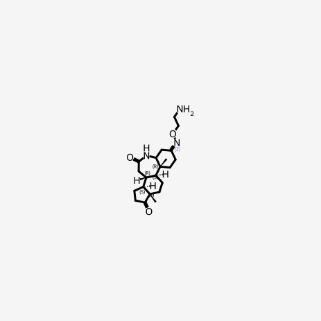 C[C@]12CC/C(=N/OCCN)CC1NC(=O)C[C@@H]1[C@@H]2CC[C@]2(C)C(=O)CC[C@@H]12